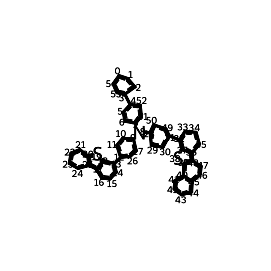 c1ccc(-c2ccc(N(c3ccc(-c4cccc5c4sc4ccccc45)cc3)c3ccc(-c4cccc5c4sc4c6ccccc6ccc54)cc3)cc2)cc1